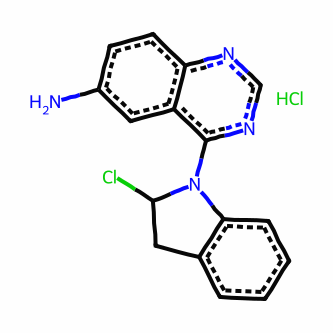 Cl.Nc1ccc2ncnc(N3c4ccccc4CC3Cl)c2c1